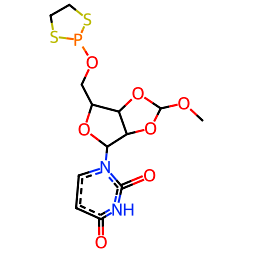 COC1OC2C(COP3SCCS3)OC(n3ccc(=O)[nH]c3=O)C2O1